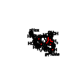 CCCCCCc1ccc(NC(=O)CNC(=O)C2NC(=O)[C@H]3NC(=O)[C@H](NC(=O)C4NC(=O)[C@H](CC(N)=O)NC(=O)[C@H](NC(=O)[C@@H](CC(C)C)NC)[C@H](O)c5ccc(c(Cl)c5)Oc5cc4cc(c5O[C@@H]4O[C@H](CO)[C@@H](O)[C@H](O)[C@H]4OC4C[C@](C)(N)[C@H](O)[C@H](C)O4)Oc4ccc(cc4Cl)[C@H]3O)c3ccc(O)c(c3)-c3c(O)cc(O)cc32)cc1